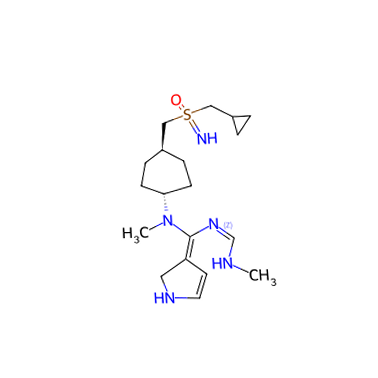 CN/C=N\C(=C1C=CNC1)N(C)[C@H]1CC[C@H](CS(=N)(=O)CC2CC2)CC1